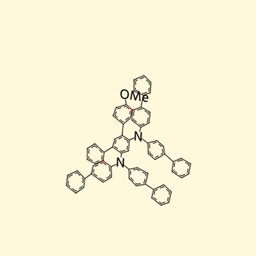 COc1ccc(-c2cc(-c3ccccc3)c(N(c3ccc(-c4ccccc4)cc3)c3ccc(-c4ccccc4)cc3)cc2N(c2ccc(-c3ccccc3)cc2)c2ccc(-c3ccccc3)cc2)cc1